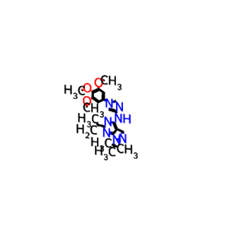 C=C(C)c1nc(Nc2cn(-c3cc(OC)c(OC)c(OC)c3)cn2)c2cnn(C(C)(C)C)c2n1